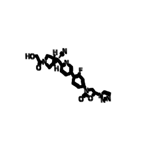 N#C[C@]1(c2ccc(-c3ccc(N4CC(n5ccnn5)OC4=O)cc3F)cn2)[C@@H]2CN(C(=O)CO)C[C@@H]21